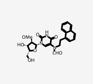 CO[C@@H]1[C@@H](O)[C@@H](CO)O[C@H]1n1cc(N(C=O)CCc2cccc3ccccc23)c(=O)[nH]c1=O